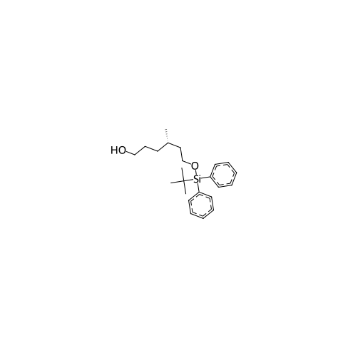 C[C@@H](CCCO)CCO[Si](c1ccccc1)(c1ccccc1)C(C)(C)C